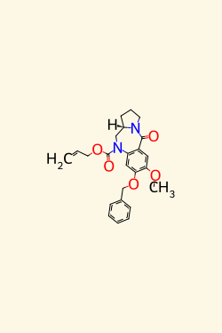 C=CCOC(=O)N1C[C@@H]2CCCN2C(=O)c2cc(OC)c(OCc3ccccc3)cc21